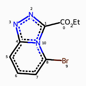 CCOC(=O)c1nnc2cccc(Br)n12